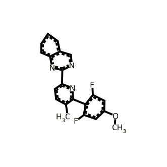 COc1cc(F)c(-c2nc(-c3ncc4ccccc4n3)ccc2C)c(F)c1